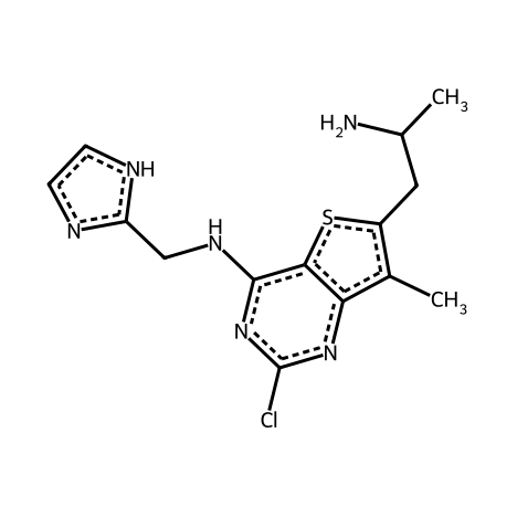 Cc1c(CC(C)N)sc2c(NCc3ncc[nH]3)nc(Cl)nc12